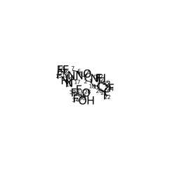 N[C@@H](CC(=O)N1CCn2c(nnc2C(F)(F)F)C1)Cc1cc(F)c(F)cc1F.O=C(O)C(F)(F)F